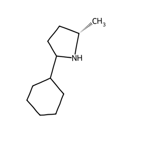 C[C@H]1CCC(C2CCCCC2)N1